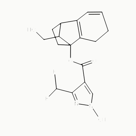 Cn1cc(C(=O)OC23CCC(C4=C2CCC=C4)C3CO)c(C(F)F)n1